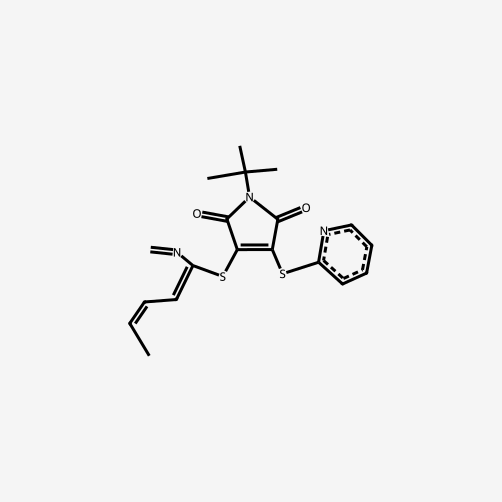 C=N/C(=C\C=C/C)SC1=C(Sc2ccccn2)C(=O)N(C(C)(C)C)C1=O